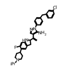 C=C(c1cnn(-c2ccc(Cc3cccc(Cl)c3)cc2)c1N)C1Cc2cc(C3CCN(C(C)C)CC3)c(F)cc2N1